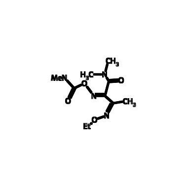 CCON=C(C)C(=NOC(=O)NC)C(=O)N(C)C